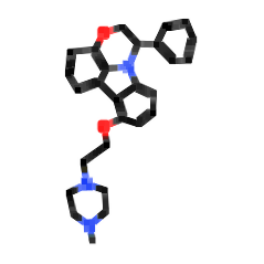 CN1CCN(CCOc2cccc3c2c2cccc4c2n3C(c2ccccc2)CO4)CC1